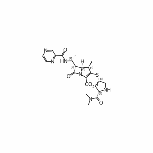 C[C@@H](NC(=O)c1cnccn1)[C@H]1C(=O)N2C(C(=O)O)=C(S[C@@H]3CN[C@H](C(=O)N(C)C)C3)[C@H](C)[C@H]12